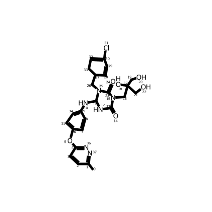 Cc1ccc(Oc2ccc(NC3NC(=O)N(CC(O)(CO)CO)C(=O)N3CC3C=CC(Cl)=CC3)cc2)nn1